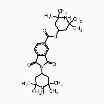 CC1(C)CC(OC(=O)c2ccc3c(c2)C(=O)N(C2CC(C)(C)NC(C)(C)C2)C3=O)CC(C)(C)N1